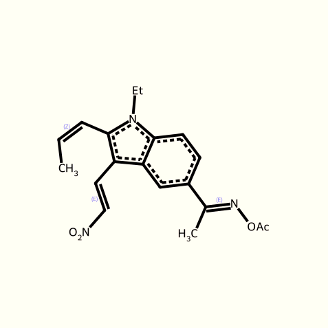 C/C=C\c1c(/C=C/[N+](=O)[O-])c2cc(/C(C)=N/OC(C)=O)ccc2n1CC